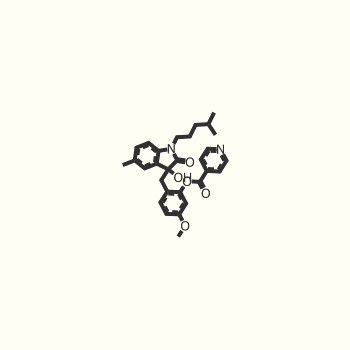 COc1ccc(CC2(O)C(=O)N(CCCC(C)C)c3ccc(C)cc32)c(OC(=O)c2ccncc2)c1